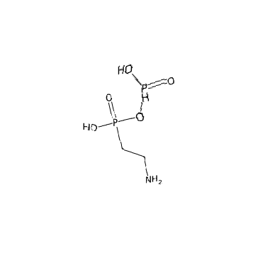 NCCP(=O)(O)O[PH](=O)O